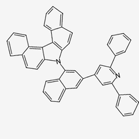 c1ccc(-c2cc(-c3cc(-n4c5ccc6ccccc6c5c5c6ccccc6ccc54)c4ccccc4c3)cc(-c3ccccc3)n2)cc1